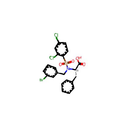 O=C(O)[C@H](Cc1ccccc1)N(Cc1cccc(Br)c1)S(=O)(=O)c1ccc(Cl)cc1Cl